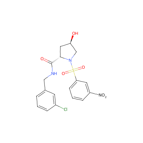 O=C(NCc1cccc(Cl)c1)[C@@H]1C[C@@H](O)CN1S(=O)(=O)c1cccc([N+](=O)[O-])c1